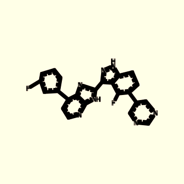 Fc1cccc(-c2ccnc3[nH]c(-c4n[nH]c5ccc(-c6cncnc6)c(F)c45)nc23)c1